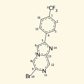 FC(F)(F)c1ccc(-c2[c]n3cc(Br)ncc3n2)cc1